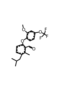 COc1cc(OC(F)(F)F)ccc1Oc1ccc(CC(C)C)c(C)c1C=O